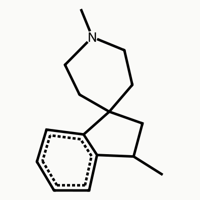 CC1CC2(CCN(C)CC2)c2ccccc21